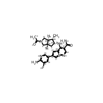 CC(=O)N1C[C@H]2C[C@@H](Nc3c(C(N)=O)cnn4cc(-c5cnc(N)c(F)c5)cc34)[C@@H](C)[C@@H]2C1